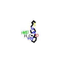 CC[C@@]1(C(=O)N2CCN(Cc3cccs3)CC2)CCCCN1.Cl.Cl